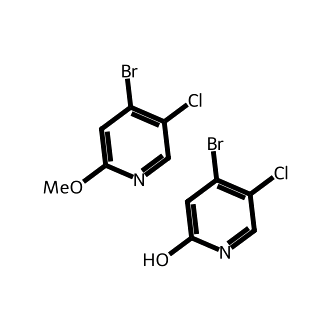 COc1cc(Br)c(Cl)cn1.Oc1cc(Br)c(Cl)cn1